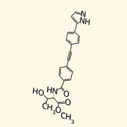 COC(=O)[C@@H](NC(=O)c1ccc(C#Cc2ccc(-c3ccn[nH]3)cc2)cc1)[C@@H](C)O